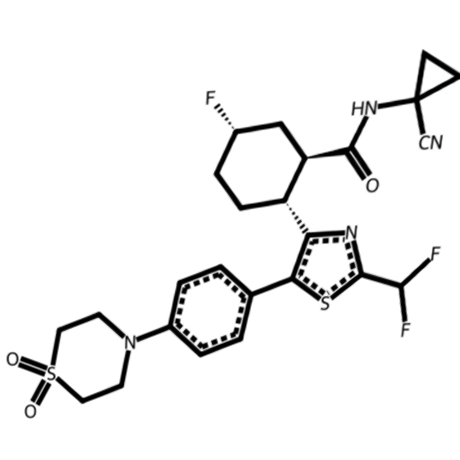 N#CC1(NC(=O)[C@@H]2C[C@@H](F)CC[C@H]2c2nc(C(F)F)sc2-c2ccc(N3CCS(=O)(=O)CC3)cc2)CC1